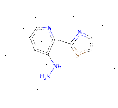 NNc1cccnc1-c1nccs1